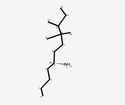 CCCC[C@@H](N)CCC(C)(C)C(C)CC